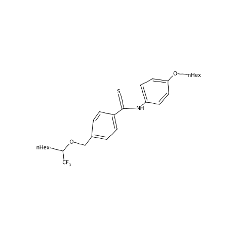 CCCCCCOc1ccc(NC(=S)c2ccc(COC(CCCCCC)C(F)(F)F)cc2)cc1